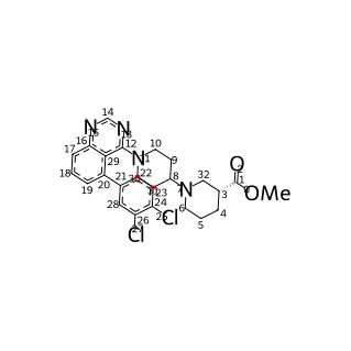 COC(=O)[C@@H]1CCCN(C2CCN(c3ncnc4cccc(-c5ccc(Cl)c(Cl)c5)c34)CC2)C1